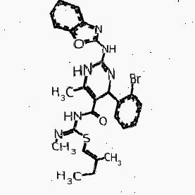 CC/C(C)=C/S/C(=N\C)NC(=O)C1=C(C)NC(Nc2nc3ccccc3o2)=NC1c1ccccc1Br